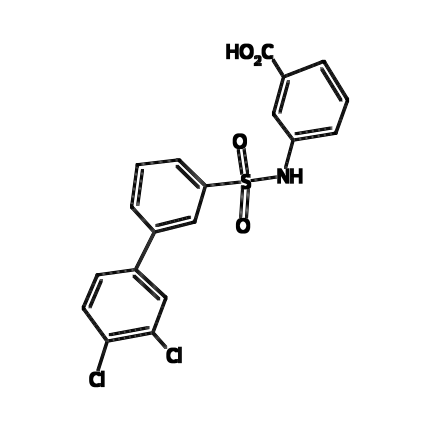 O=C(O)c1cccc(NS(=O)(=O)c2cccc(-c3ccc(Cl)c(Cl)c3)c2)c1